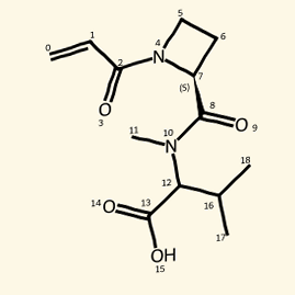 C=CC(=O)N1CC[C@H]1C(=O)N(C)C(C(=O)O)C(C)C